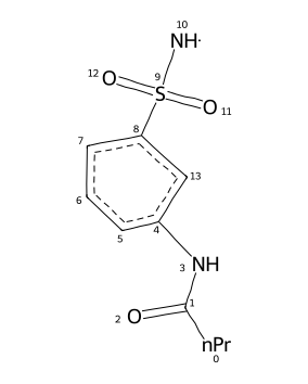 CCCC(=O)Nc1cccc(S([NH])(=O)=O)c1